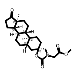 COC(=O)CN1C[C@]2(CC[C@@]3(C)[C@@H](CC[C@@H]4[C@@H]3CC[C@]3(C)C(=O)CC[C@@H]43)C2)OC1=O